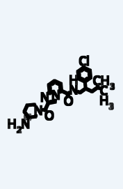 CC(C)CC(CNC(=O)c1cccc2nc(C(=O)N3CCC[C@@H](N)C3)cn12)c1ccc(Cl)cc1